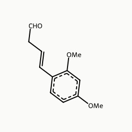 COc1ccc(C=CCC=O)c(OC)c1